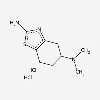 CN(C)C1CCc2sc(N)nc2C1.Cl.Cl